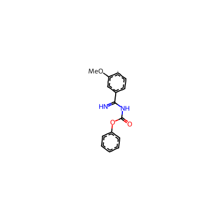 COc1[c]ccc(C(=N)NC(=O)Oc2ccccc2)c1